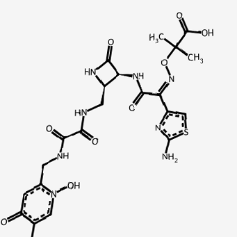 CC(C)(O/N=C(\C(=O)N[C@@H]1C(=O)N[C@@H]1CNC(=O)C(=O)NCc1cc(=O)c(O)cn1O)c1csc(N)n1)C(=O)O